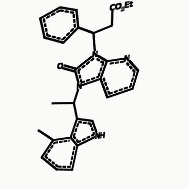 CCOC(=O)CC(c1ccccc1)n1c(=O)n(C(C)c2c[nH]c3cccc(C)c23)c2cccnc21